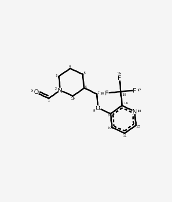 O=CN1CCCC(COc2cccnc2C(F)(F)F)C1